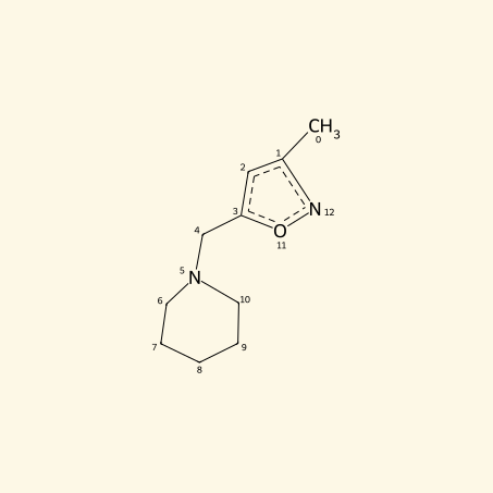 Cc1cc(CN2CCCCC2)on1